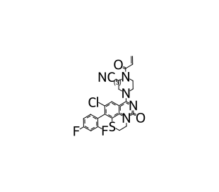 C=CC(=O)N1CCN(c2nc(=O)n3c4c(c(-c5ccc(F)cc5F)c(Cl)cc24)SCC3)C[C@H]1C#N